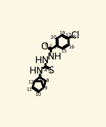 O=C(NNC(=S)NC1CC2C=CC1C2)c1ccc(Cl)cc1